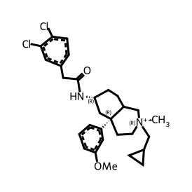 COc1cccc([C@@]23CC[N@+](C)(CC4CC4)CC2CC[C@@H](NC(=O)Cc2ccc(Cl)c(Cl)c2)C3)c1